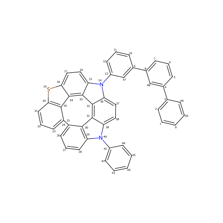 c1ccc(-c2cccc(-c3cccc(-n4c5ccc6sc7cccc8c9cccc%10c9c9c(c5c6c78)c4ccc9n%10-c4ccccc4)c3)c2)cc1